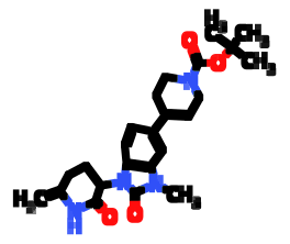 C=C1CCC(n2c(=O)n(C)c3cc(C4=CCN(C(=O)OC(C)(C)C)CC4)ccc32)C(=O)N1